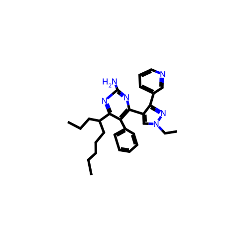 CCCCCC(CCC)c1nc(N)nc(-c2cn(CC)nc2-c2cccnc2)c1-c1ccccc1